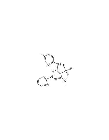 COc1nc(-c2ccccn2)nc(Nc2ccc(C)cc2)c1C(F)(F)F